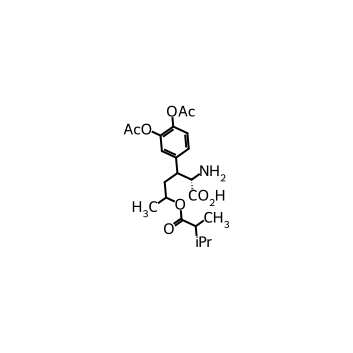 CC(=O)Oc1ccc(C(CC(C)OC(=O)C(C)C(C)C)[C@H](N)C(=O)O)cc1OC(C)=O